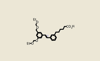 CCOCOCc1cc(/C=C/c2cccc(CCCCCC(=O)O)c2)cc(OCOCC)c1